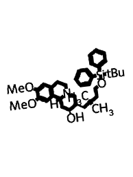 COc1cc2c(cc1OC)[C@H]1C[C@@H](O)[C@H](CC(C)(C)CCO[Si](c3ccccc3)(c3ccccc3)C(C)(C)C)CN1CC2